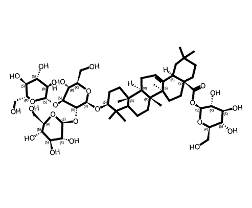 CC1(C)CC[C@]2(C(=O)O[C@@H]3O[C@H](CO)[C@@H](O)[C@H](O)[C@H]3O)CC[C@]3(C)C(=CC[C@@H]4[C@@]5(C)CC[C@H](O[C@@H]6O[C@H](CO)[C@@H](O)[C@H](O[C@@H]7O[C@H](CO)[C@@H](O)[C@H](O)[C@H]7O)[C@H]6O[C@@H]6O[C@H](CO)[C@@H](O)[C@H](O)[C@H]6O)C(C)(C)C5CC[C@]43C)[C@H]2C1